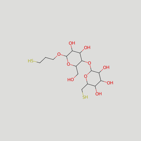 OCC1OC(OCCCS)C(O)C(O)C1OC1OC(CS)C(O)C(O)C1O